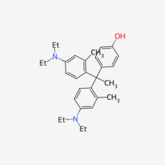 CCN(CC)c1ccc(C(C)(c2ccc(O)cc2)c2ccc(N(CC)CC)cc2C)c(C)c1